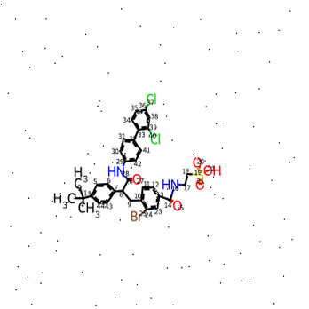 CC(C)(C)c1ccc(C(Cc2ccc(C(=O)NCCS(=O)(=O)O)cc2Br)C(=O)Nc2ccc(-c3ccc(Cl)cc3Cl)cc2)cc1